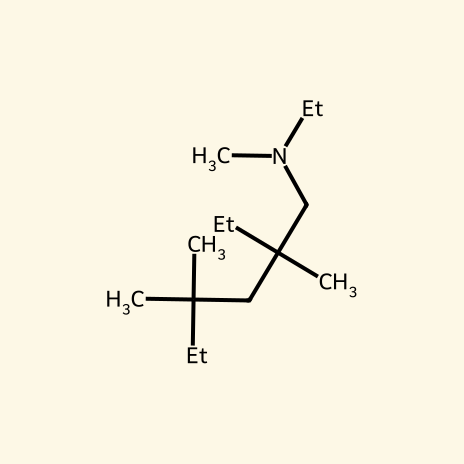 CCN(C)CC(C)(CC)CC(C)(C)CC